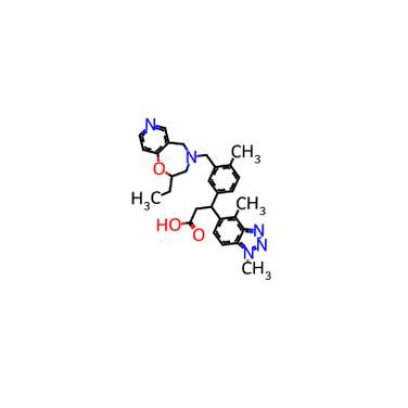 CCC1CN(Cc2cc(C(CC(=O)O)c3ccc4c(nnn4C)c3C)ccc2C)Cc2cnccc2O1